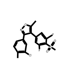 Cc1ccc(-c2noc(C)c2-c2cc(F)c(S(C)(=O)=O)c(F)c2)cc1Cl